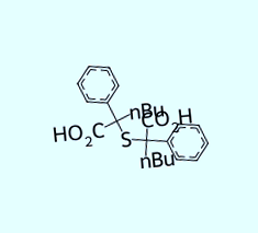 CCCCC(SC(CCCC)(C(=O)O)c1ccccc1)(C(=O)O)c1ccccc1